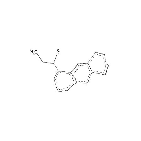 CCC([S])c1cccc2cc3ccccc3cc12